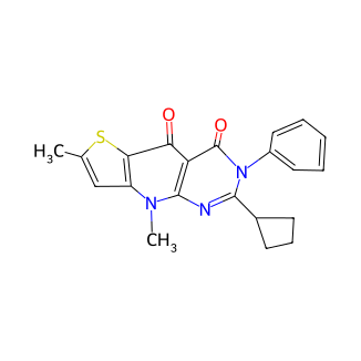 Cc1cc2c(s1)c(=O)c1c(=O)n(-c3ccccc3)c(C3CCC3)nc1n2C